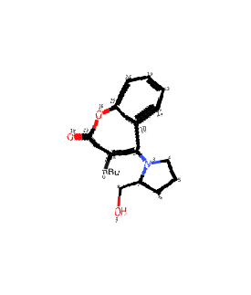 CCCCc1c(N2CCCC2CO)c2ccccc2oc1=O